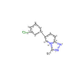 CCc1nnc2ccc(-c3cccc(Cl)c3)cn12